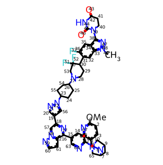 COc1ccc(CN2C3CC2CN(c2ccc(-c4nc(-c5cnn(C6CCC(N7CCC(c8cc9c(cc8F)c(N8CCC(=O)NC8=O)nn9C)C(F)(F)C7)CC6)c5)cn5nccc45)cn2)C3)cn1